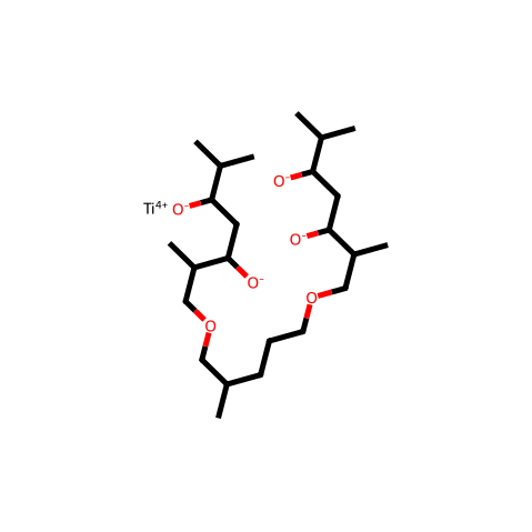 CC(CCCOCC(C)C([O-])CC([O-])C(C)C)COCC(C)C([O-])CC([O-])C(C)C.[Ti+4]